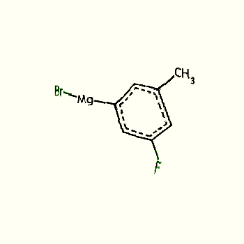 Cc1cc(F)c[c]([Mg][Br])c1